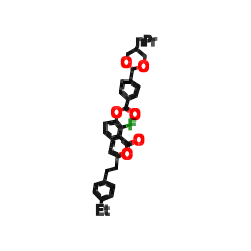 CCCC1COC(c2ccc(C(=O)Oc3ccc4cc(CCc5ccc(CC)cc5)oc(=O)c4c3F)cc2)OC1